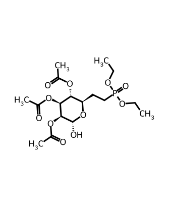 CCOP(=O)(CC[C@H]1O[C@H](O)[C@@H](OC(C)=O)[C@@H](OC(C)=O)[C@@H]1OC(C)=O)OCC